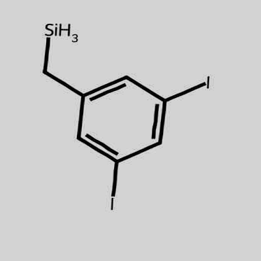 [SiH3]Cc1cc(I)cc(I)c1